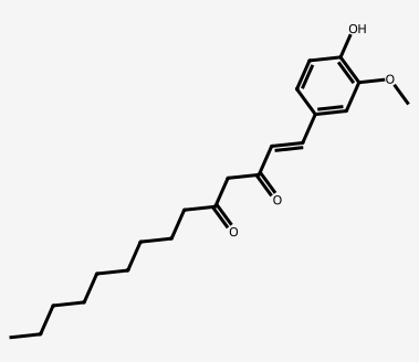 CCCCCCCCCC(=O)CC(=O)/C=C/c1ccc(O)c(OC)c1